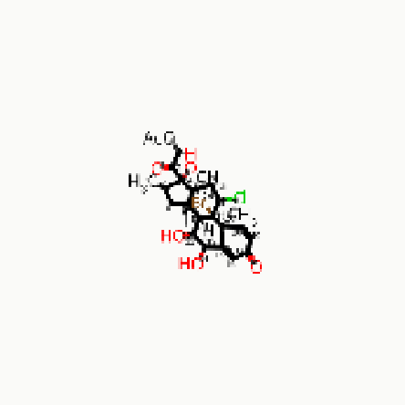 CC(=O)OCC(=O)[C@@]1(O)C(C)C[C@H]2[C@@H]3C(O)C(O)C4=CC(=O)C=C[C@]4(C)[C@@]3(Br)C(Cl)C[C@@]21C